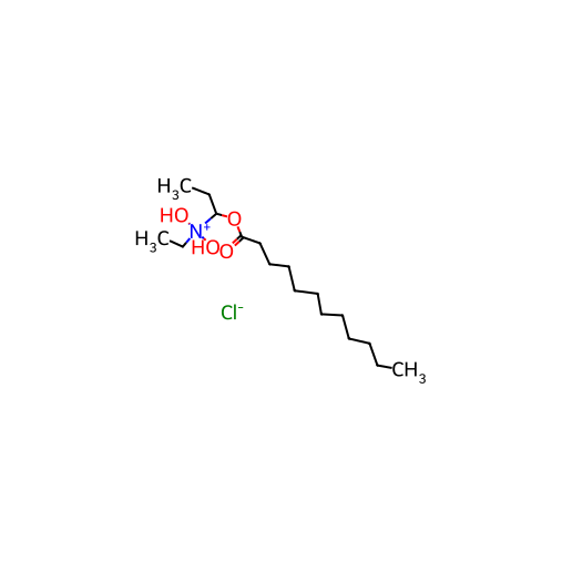 CCCCCCCCCCCC(=O)OC(CC)[N+](O)(O)CC.[Cl-]